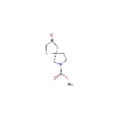 CC(C)(C)OC(=O)N1CCC2(CCC(=O)C2)C1